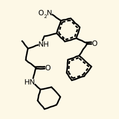 CC(CC(=O)NC1CCCCC1)NCc1cc(C(=O)c2ccccc2)ccc1[N+](=O)[O-]